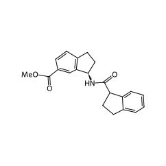 COC(=O)c1ccc2c(c1)[C@H](NC(=O)C1CCc3ccccc31)CC2